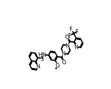 COc1cc(NSc2cccc3cccnc23)ccc1C(=O)N1CCN(C(=O)c2ncccc2C(F)(F)F)CC1